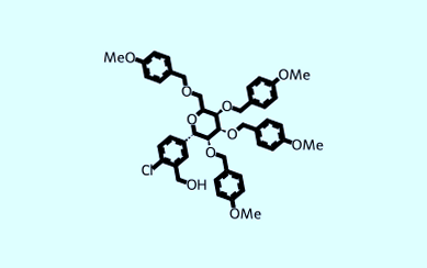 COc1ccc(COCC2O[C@@H](c3ccc(Cl)c(CO)c3)[C@@H](OCc3ccc(OC)cc3)[C@@H](OCc3ccc(OC)cc3)[C@@H]2OCc2ccc(OC)cc2)cc1